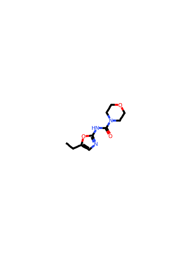 CCc1cnc(NC(=O)N2CCOCC2)o1